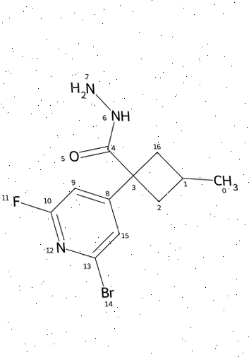 CC1CC(C(=O)NN)(c2cc(F)nc(Br)c2)C1